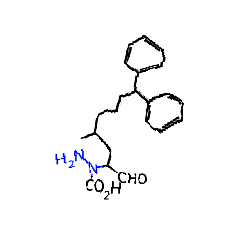 CC(CCCC(c1ccccc1)c1ccccc1)CC(C=O)N(N)C(=O)O